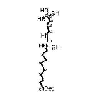 CCCCCCCCCCCCCCCCCCNCNCCC[Si](O)(O)O.Cl